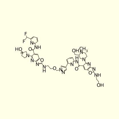 CN1CCN(c2nc3nc(NCCO)oc3cc2C(=O)Nc2cccc(-c3cnn(COCCNc4nc5nc(N6CC[C@@H](O)C6)c(C(=O)Nc6cccc(C(F)F)n6)cc5o4)c3)n2)CC1CO